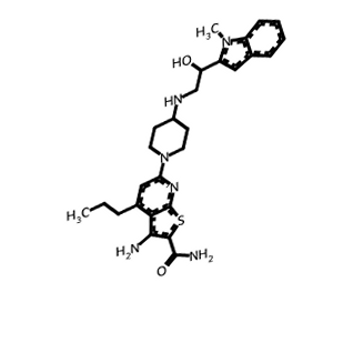 CCCc1cc(N2CCC(NCC(O)c3cc4ccccc4n3C)CC2)nc2sc(C(N)=O)c(N)c12